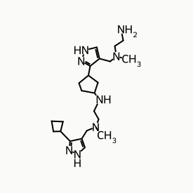 CN(CCNC1CCC(c2n[nH]cc2CN(C)CCN)C1)Cc1c[nH]nc1C1CCC1